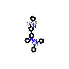 O=c1c2ccc(-c3ccc4c(c3)c3ccccc3n4-c3nc(-c4ccccc4)nc(-c4ccccc4)n3)cc2nc2sc3ccccc3n12